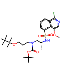 COc1cnc(F)c2cccc(S(=O)(=O)N[C@H](C)CN(CCCO[Si](C)(C)C(C)(C)C)C(=O)OC(C)(C)C)c12